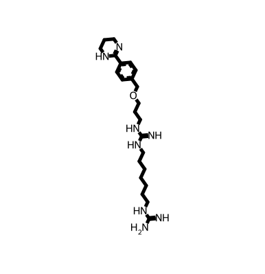 N=C(N)NCCCCCCCNC(=N)NCCCOCc1ccc(C2=NCCCN2)cc1